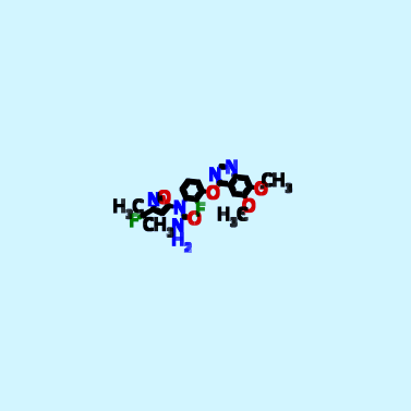 COc1cc2ncnc(Oc3cccc(N(C(N)=O)c4cc(C(C)(C)F)no4)c3F)c2cc1OC